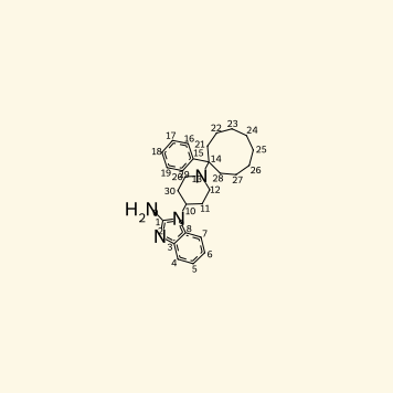 Nc1nc2ccccc2n1C1CCN(C2(c3ccccc3)CCCCCCCC2)CC1